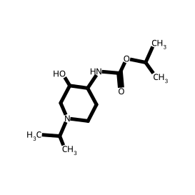 CC(C)OC(=O)NC1CCN(C(C)C)CC1O